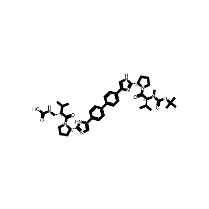 CC(C)[C@@H](C(=O)N1CCC[C@H]1c1nc(-c2ccc(-c3ccc(-c4cnc([C@@H]5CCCN5C(=O)[C@H](CNC(=O)O)C(C)C)[nH]4)cc3)cc2)c[nH]1)N(C)C(=O)OC(C)(C)C